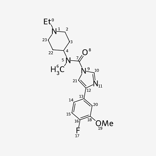 CCN1CCC(N(C)C(=O)n2cnc(-c3ccc(F)c(OC)c3)c2)CC1